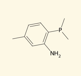 Cc1ccc(P(C)C)c(N)c1